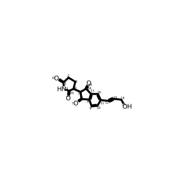 O=C1CCC(C2C(=O)c3ccc(C#CCO)cc3C2=O)C(=O)N1